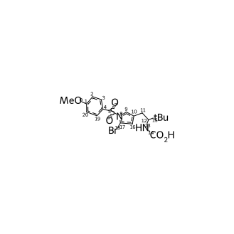 COc1ccc(S(=O)(=O)n2cc(CC(NC(=O)O)C(C)(C)C)cc2Br)cc1